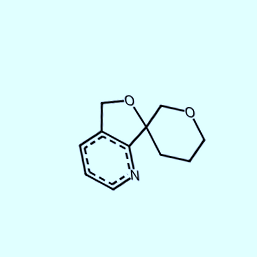 c1cnc2c(c1)COC21CCCOC1